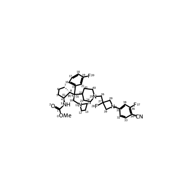 COC(=O)N[C@H]1CCC[C@@H]1[C@](CN1CCC1)(c1cccc(F)c1)C1CCN(CC2(F)CN(c3ccc(C#N)c(F)c3)C2)CC1